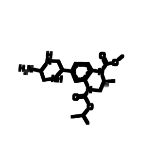 COC(=O)N1c2ccc(C3CNC(N)CN3)cc2N(C(=O)OC(C)C)C[C@@H]1C